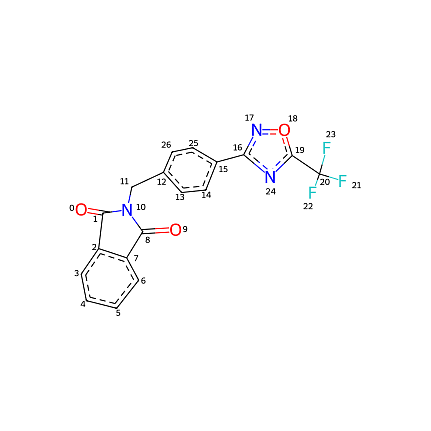 O=C1c2ccccc2C(=O)N1Cc1ccc(-c2noc(C(F)(F)F)n2)cc1